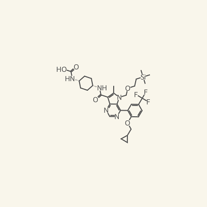 Cc1c(C(=O)N[C@H]2CC[C@@H](NC(=O)O)CC2)c2ncnc(-c3cc(C(F)(F)F)ccc3OCC3CC3)c2n1COCC[Si](C)(C)C